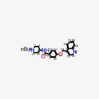 CCCCN1CCC(NC(=O)c2ccc(OCc3ccnc4ccccc34)cc2)CC1